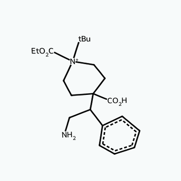 CCOC(=O)[N+]1(C(C)(C)C)CCC(C(=O)O)(C(CN)c2ccccc2)CC1